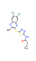 CC(C)c1nc2cc(Cl)c(Cl)cc2nc1Sc1nnc(NC(=O)CC2CC2)s1